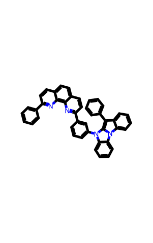 c1ccc(-c2ccc3ccc4ccc(-c5cccc(-n6c7ccccc7n7c8ccccc8c(-c8ccccc8)c67)c5)nc4c3n2)cc1